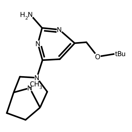 CN1C2CCC1CN(c1cc(COC(C)(C)C)nc(N)n1)C2